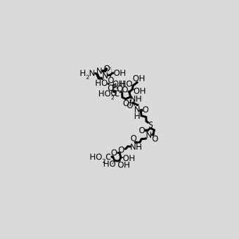 C[C@H](O)[C@@H](OC(O)OP(=O)(O)O[C@@]1(C(=O)O)C[C@@H](O)[C@@H](NC(=O)CNC(=O)CCCSC2CC(=O)N(CCCC(=O)NCCO[C@@H]3OC(C(=O)O)[C@@H](O)C(O)[C@@H]3O)C2=O)C([C@H](O)[C@H](O)CO)O1)n1ccc(N)nc1=O